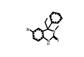 CCC1(c2ccccc2)c2cc(Br)ccc2NC(=S)N1C